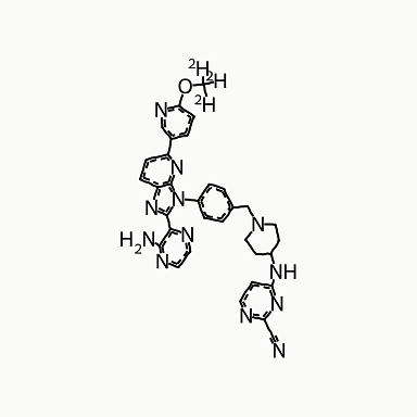 [2H]C([2H])([2H])Oc1ccc(-c2ccc3nc(-c4nccnc4N)n(-c4ccc(CN5CCC(Nc6ccnc(C#N)n6)CC5)cc4)c3n2)cn1